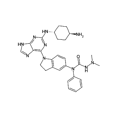 CN(C)NC(=O)N(c1ccccc1)c1ccc2c(c1)CCN2c1nc(N[C@H]2CC[C@H](N)CC2)nc2[nH]cnc12